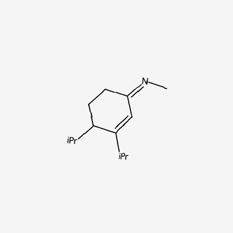 C/N=C1\C=C(C(C)C)C(C(C)C)CC1